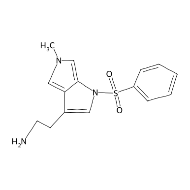 Cn1cc2c(CCN)cn(S(=O)(=O)c3ccccc3)c2c1